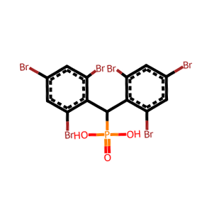 O=P(O)(O)C(c1c(Br)cc(Br)cc1Br)c1c(Br)cc(Br)cc1Br